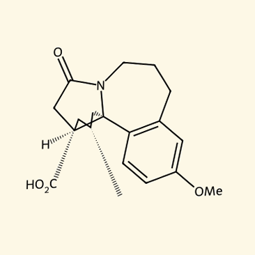 COc1ccc2c(c1)CCCN1C(=O)C[C@H]3[C@H](C(=O)O)[C@@H](C)C[C@]231